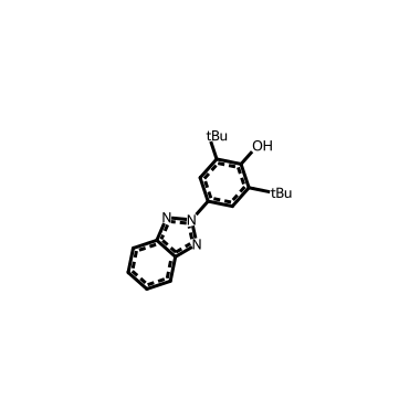 CC(C)(C)c1cc(-n2nc3ccccc3n2)cc(C(C)(C)C)c1O